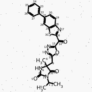 CC(C)N1C(=O)NC(C)(Cc2nnc(C(=O)c3nc4ccc(-c5ccccc5)cc4s3)o2)C1=O